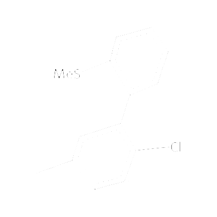 CSc1ccccc1-c1cc(C)c[c]c1Cl